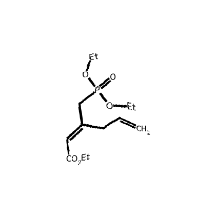 C=CC/C(=C\C(=O)OCC)CP(=O)(OCC)OCC